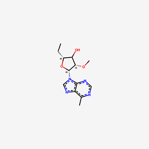 CC[C@H]1O[C@@H](n2cnc3c(C)ncnc32)[C@@H](OC)C1O